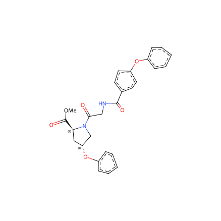 COC(=O)[C@@H]1C[C@@H](Oc2ccccc2)CN1C(=O)CNC(=O)c1ccc(Oc2ccccc2)cc1